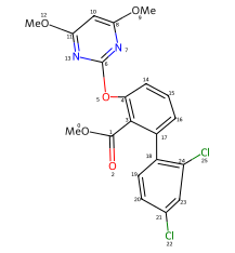 COC(=O)c1c(Oc2nc(OC)cc(OC)n2)cccc1-c1ccc(Cl)cc1Cl